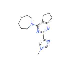 Cn1cnc(-c2nc3c(c(N4CCCCCC4)n2)CCC3)c1